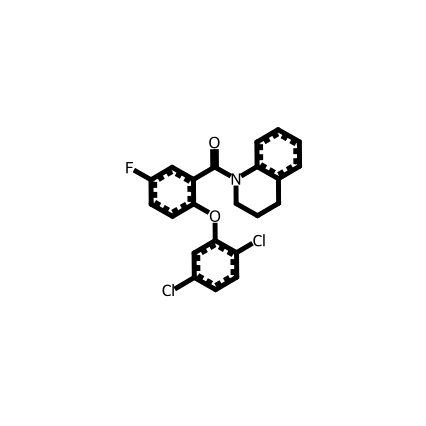 O=C(c1cc(F)ccc1Oc1cc(Cl)ccc1Cl)N1CCCc2ccccc21